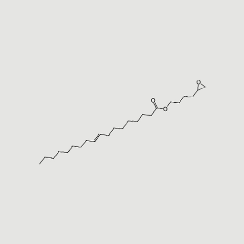 CCCCCCCCC=CCCCCCCCC(=O)OCCCCC1CO1